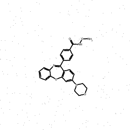 NONC(=O)c1ccc(C2=Nc3ccccc3Oc3cc(N4CCOCC4)ccc32)cc1